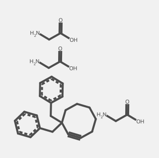 C1#CC(Cc2ccccc2)(Cc2ccccc2)CCCCC1.NCC(=O)O.NCC(=O)O.NCC(=O)O